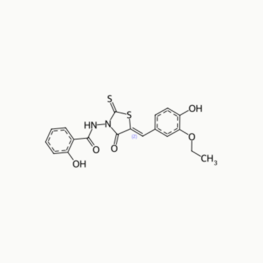 CCOc1cc(/C=C2\SC(=S)N(NC(=O)c3ccccc3O)C2=O)ccc1O